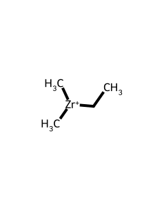 C[CH2][Zr+]([CH3])[CH3]